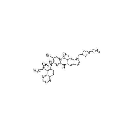 COc1cc2c(ccn2CC2CN(C)C2)cc1Nc1ncc(Br)c(Nc2ccc3nccnc3c2P(C)C)n1